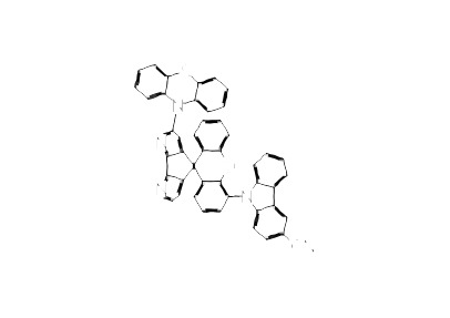 N#Cc1ccc2c(c1)c1ccccc1n2-c1cccc2c1Oc1ccccc1C21c2cccnc2-c2ncc(N3c4ccccc4Sc4ccccc43)cc21